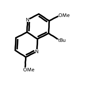 COc1ccc2ncc(OC)c(C(C)(C)C)c2n1